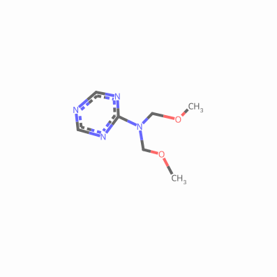 COCN(COC)c1ncncn1